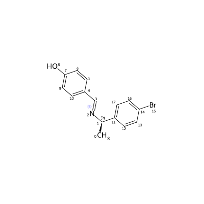 C[C@@H](/N=C/c1ccc(O)cc1)c1ccc(Br)cc1